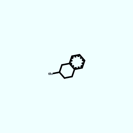 CC(C)(C)C1CCc2ccccc2C1